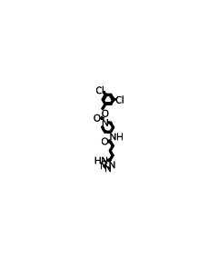 O=C(CCCc1nnn[nH]1)NC1CCN(C(=O)OCc2cc(Cl)cc(Cl)c2)CC1